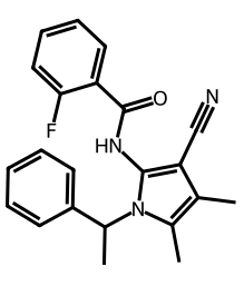 Cc1c(C#N)c(NC(=O)c2ccccc2F)n(C(C)c2ccccc2)c1C